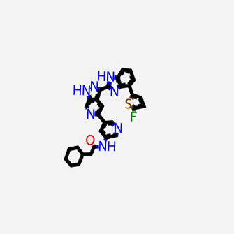 O=C(CC1CCCCC1)Nc1cncc(-c2cc3c(-c4nc5c(-c6ccc(F)s6)cccc5[nH]4)n[nH]c3cn2)c1